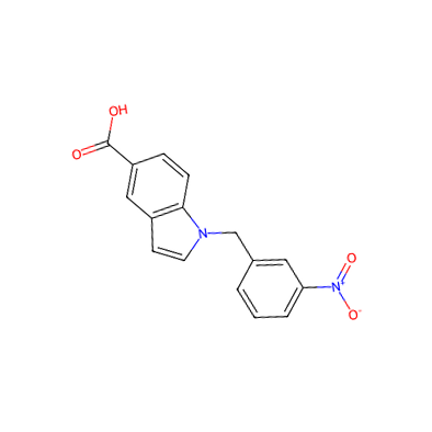 O=C(O)c1ccc2c(ccn2Cc2cccc([N+](=O)[O-])c2)c1